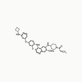 C=CC(=O)N1CCC(Nc2cc3c(Nc4ccc(Oc5cnnc(NC6CCC6)c5)cc4F)ncnc3cc2OC)CC1